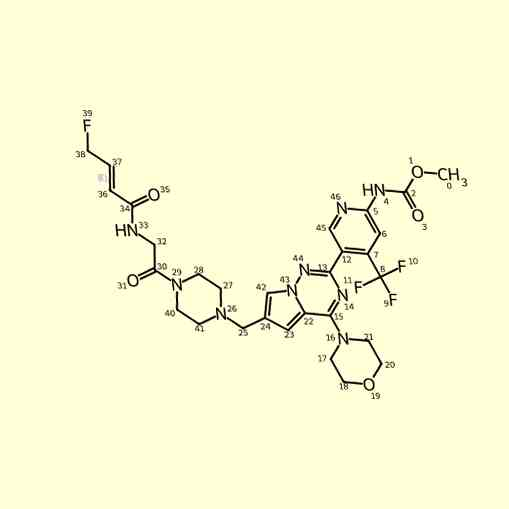 COC(=O)Nc1cc(C(F)(F)F)c(-c2nc(N3CCOCC3)c3cc(CN4CCN(C(=O)CNC(=O)/C=C/CF)CC4)cn3n2)cn1